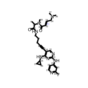 CC(C(=O)NCCCC#Cc1cnc(Nc2ccnc(F)c2)nc1NC1CC1)N(C)C(=O)/C=C/CN(C)C